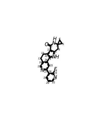 O=C1NC2(CC2)Cc2[nH]c3c(c21)CCc1cnc(-c2cccnc2F)cc1-3